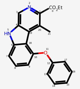 CCOC(=O)c1ncc2[nH]c3cccc(Oc4ccccc4)c3c2c1C